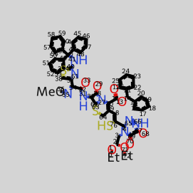 CCOC(Cn1c(C(S)=CC2=C(C(=O)OC(c3ccccc3)c3ccccc3)N3C(=O)C(NC(=O)C(=NOC)c4csc(NC(c5ccccc5)(c5ccccc5)c5ccccc5)n4)C3SC2)n[nH]c(=O)c1=O)OCC